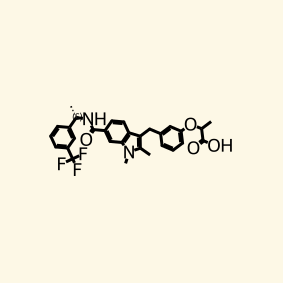 Cc1c(Cc2cccc(OC(C)C(=O)O)c2)c2ccc(C(=O)N[C@@H](C)c3cccc(C(F)(F)F)c3)cc2n1C